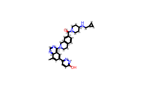 Cc1cc(-c2ccc(O)nn2)cc2c(N3CCc4ccc(C(=O)N5CCC(NCC6CC6)CC5)cc4C3)ncnc12